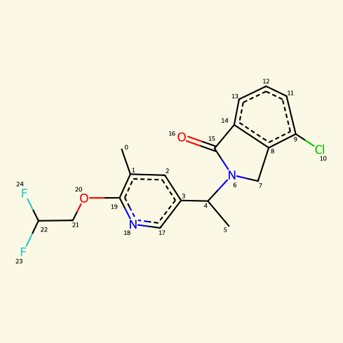 Cc1cc(C(C)N2Cc3c(Cl)cccc3C2=O)cnc1OCC(F)F